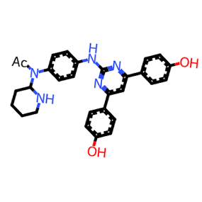 CC(=O)N(c1ccc(Nc2nc(-c3ccc(O)cc3)cc(-c3ccc(O)cc3)n2)cc1)C1CCCCN1